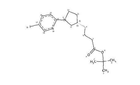 CC(C)(C)OC(=O)CCC[C@H]1CCN(c2ccc(I)cn2)C1